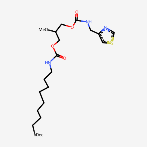 CCCCCCCCCCCCCCCCCCNC(=O)OCC(COC(=O)NCc1cscn1)OC